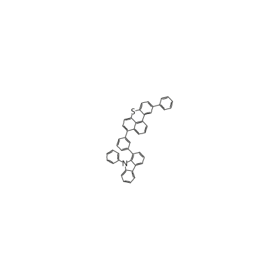 c1ccc(-c2ccc3c(c2)-c2cccc4c(-c5cccc(-c6cccc7c8ccccc8n(-c8ccccc8)c67)c5)ccc(c24)S3)cc1